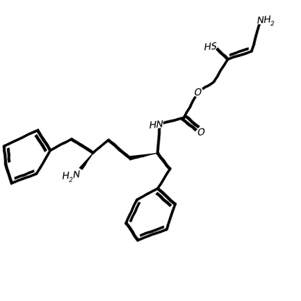 N/C=C(\S)COC(=O)N[C@H](CC[C@@H](N)Cc1ccccc1)Cc1ccccc1